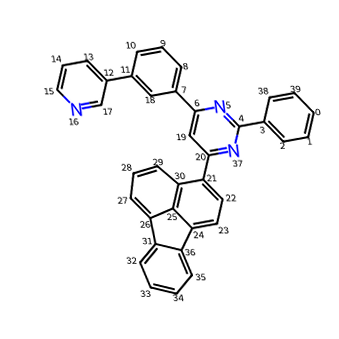 c1ccc(-c2nc(-c3cccc(-c4cccnc4)c3)cc(-c3ccc4c5c(cccc35)-c3ccccc3-4)n2)cc1